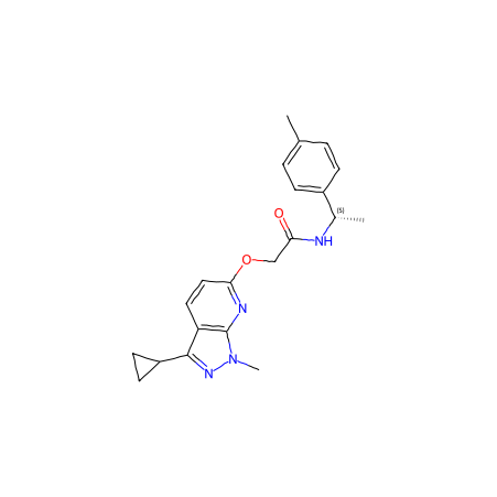 Cc1ccc([C@H](C)NC(=O)COc2ccc3c(C4CC4)nn(C)c3n2)cc1